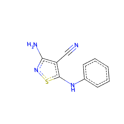 N#Cc1c(N)nsc1Nc1ccccc1